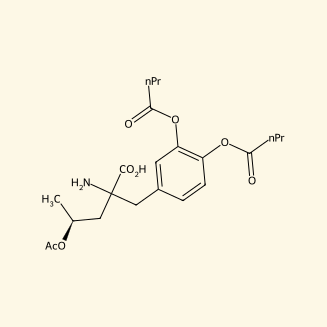 CCCC(=O)Oc1ccc(CC(N)(C[C@H](C)OC(C)=O)C(=O)O)cc1OC(=O)CCC